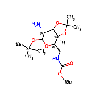 CC(C)(C)OC(=O)NC[C@H]1OC(O[Si](C)(C)C(C)(C)C)[C@H](N)C2OC(C)(C)O[C@H]21